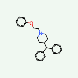 c1ccc(OCCN2CCC(C(c3ccccc3)c3ccccc3)CC2)cc1